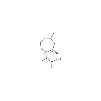 CC1CCC[C@@H](C(C)C(C)S)[C@H](C)C1